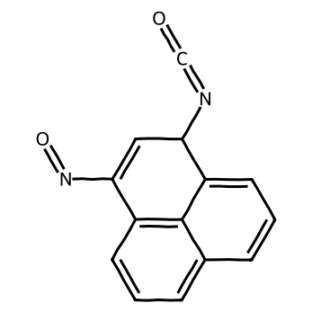 O=C=NC1C=C(N=O)c2cccc3cccc1c23